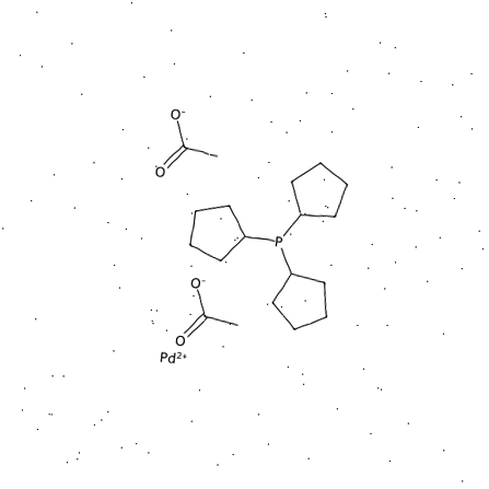 C1CCC(P(C2CCCC2)C2CCCC2)C1.CC(=O)[O-].CC(=O)[O-].[Pd+2]